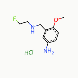 COc1ccc(N)cc1CNCCF.Cl